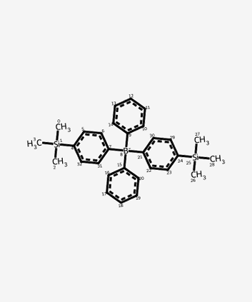 C[Si](C)(C)c1ccc([B-](c2ccccc2)(c2ccccc2)c2ccc([Si](C)(C)C)cc2)cc1